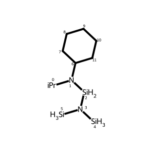 CC(C)N([SiH2]N([SiH3])[SiH3])C1CCCCC1